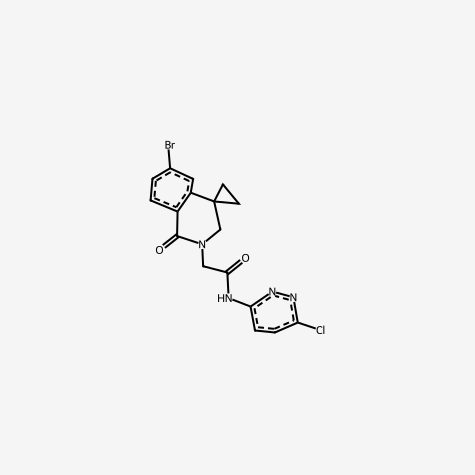 O=C(CN1CC2(CC2)c2cc(Br)ccc2C1=O)Nc1ccc(Cl)nn1